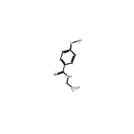 CCCOc1ccc(C(=N)NCC(=O)O)cc1